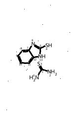 NC(N)=S.Sc1nc2ccccc2[nH]1